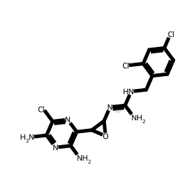 N/C(=N\C1OC1c1nc(Cl)c(N)nc1N)NCc1ccc(Cl)cc1Cl